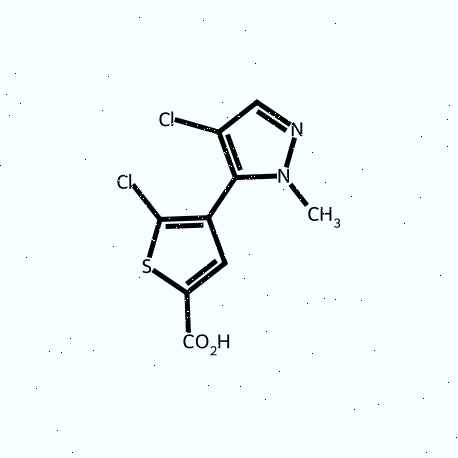 Cn1ncc(Cl)c1-c1cc(C(=O)O)sc1Cl